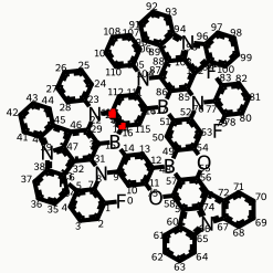 Fc1cccc(F)c1N1c2cc3c(cc2B2c4ccccc4N(c4ccccc4)c4c2c1c1c2ccccc2n2c5ccccc5c4c12)B1c2cc4c(cc2Oc2c1c(c1c5ccccc5n5c6ccccc6c2c15)O3)N(c1c(F)cccc1F)c1c2c(c3c5ccccc5n5c6ccccc6c1c35)N(c1ccccc1)c1ccccc1B42